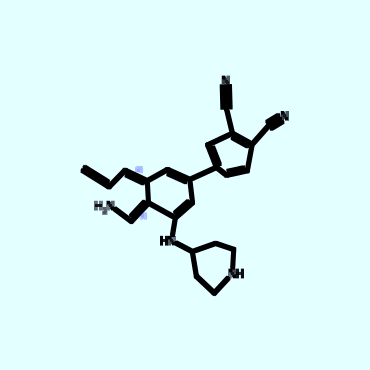 C=C/C=c1/cc(-c2ccc(C#N)c(C#N)c2)cc(NC2CCNCC2)/c1=C/N